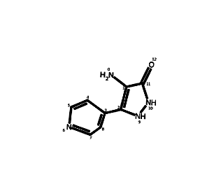 Nc1c(-c2ccncc2)[nH][nH]c1=O